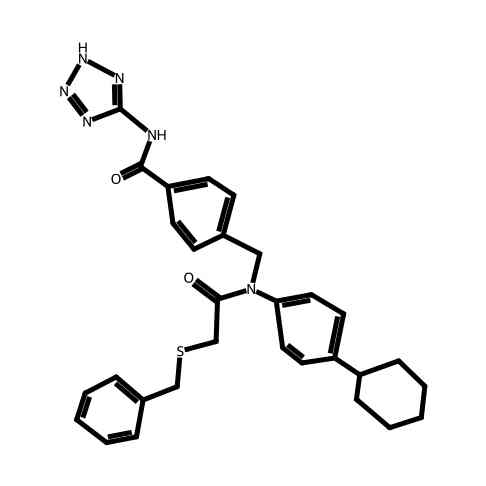 O=C(Nc1nn[nH]n1)c1ccc(CN(C(=O)CSCc2ccccc2)c2ccc(C3CCCCC3)cc2)cc1